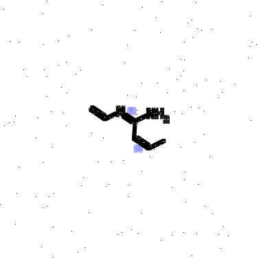 C=C/N=C(N)\C=C/C